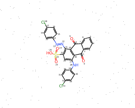 O=C1c2ccccc2C(=O)c2c(/N=N/c3ccc(Cl)cc3)c(S(=O)(=O)O)cc(Nc3ccc(Cl)cc3)c21